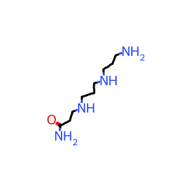 NCCCNCCCNCCC(N)=O